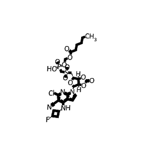 CCCCCC(=O)OCOP(=O)(O)CS(=O)(=O)C[C@H]1O[C@@H](n2ccc3c(N[C@H]4C[C@@H](F)C4)c(C#N)c(Cl)nc32)[C@@H]2OC(=O)O[C@@H]21